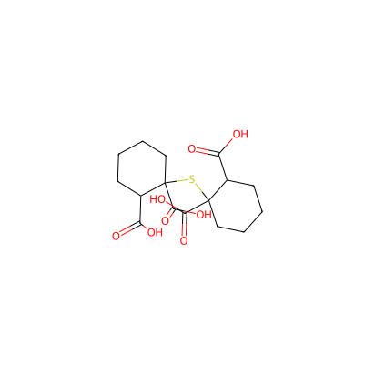 O=C(O)C1CCCCC1(SC1(C(=O)O)CCCCC1C(=O)O)C(=O)O